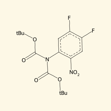 CC(C)(C)OC(=O)N(C(=O)OC(C)(C)C)c1cc(F)c(F)cc1[N+](=O)[O-]